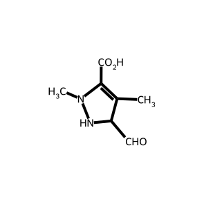 CC1=C(C(=O)O)N(C)NC1C=O